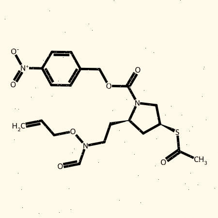 C=CCON(C=O)CC[C@@H]1C[C@H](SC(C)=O)CN1C(=O)OCc1ccc([N+](=O)[O-])cc1